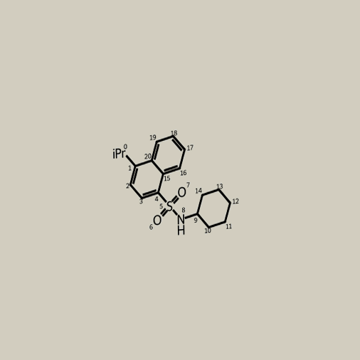 CC(C)c1ccc(S(=O)(=O)NC2CCCCC2)c2ccccc12